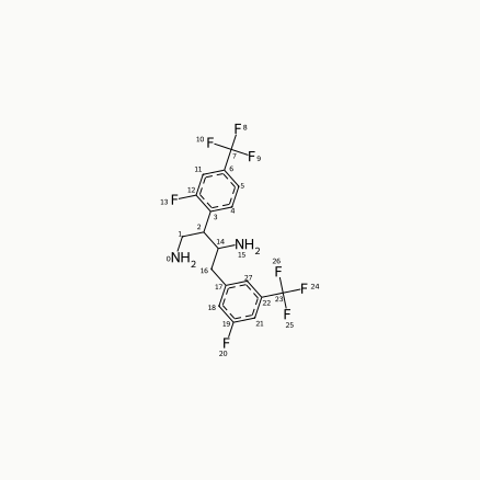 NCC(c1ccc(C(F)(F)F)cc1F)C(N)Cc1cc(F)cc(C(F)(F)F)c1